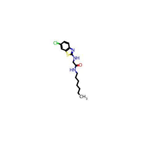 CCCCCCCNC(=O)CNc1nc2ccc(Cl)cc2s1